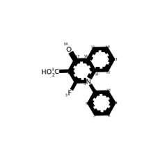 O=C(O)c1c(F)n(-c2ccccc2)c2ccccc2c1=O